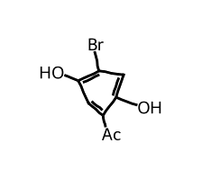 CC(=O)c1cc(O)c(Br)cc1O